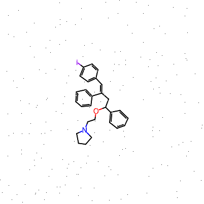 Ic1ccc(C=C(CC(OCCN2CCCC2)c2ccccc2)c2ccccc2)cc1